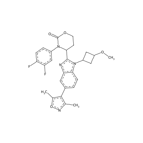 COC1CC(n2c(C3CCOC(=O)N3c3ccc(F)c(F)c3)nc3cc(-c4c(C)noc4C)ccc32)C1